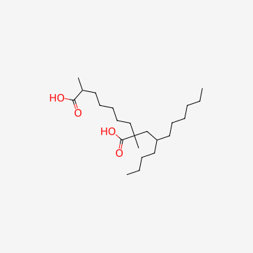 CCCCCCC(CCCC)CC(C)(CCCCCC(C)C(=O)O)C(=O)O